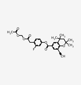 C#Cc1cc(C(=O)Oc2ccc(CC(=O)OCOC(C)=O)c(F)c2)cc2c1OC(C)(C)CC2(C)C